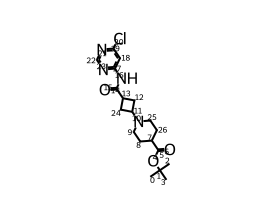 CC(C)(C)OC(=O)C1CCN(C2CC(C(=O)Nc3cc(Cl)ncn3)C2)CC1